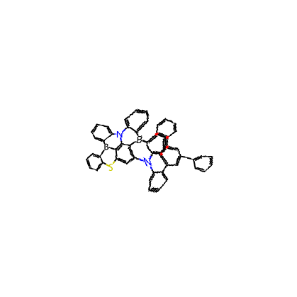 c1ccc(-c2cc(-c3ccccc3)cc(-c3ccccc3N3c4ccccc4B4c5ccccc5N5c6ccccc6B6c7ccccc7Sc7cc3c4c5c76)c2)cc1